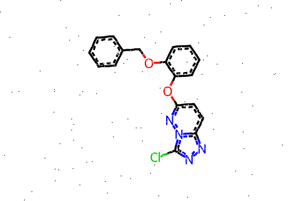 Clc1nnc2ccc(Oc3ccccc3OCc3ccccc3)nn12